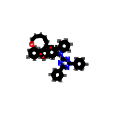 C=C1/C=C\C=C/COc2ccccc2C12c1ccccc1-c1cc3c(cc12)c1ccccc1n3-c1nc(-c2ccccc2)nc(-c2ccccc2)n1